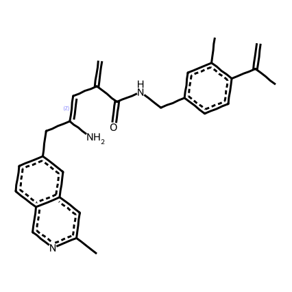 C=C(/C=C(\N)Cc1ccc2cnc(C)cc2c1)C(=O)NCc1ccc(C(=C)C)c(C)c1